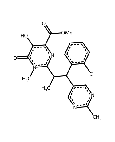 COC(=O)c1nc(C(C)C(c2cnc(C)nc2)c2ccccc2Cl)n(C)c(=O)c1O